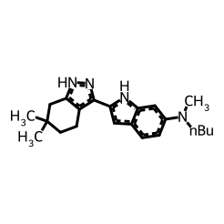 CCCCN(C)c1ccc2cc(-c3n[nH]c4c3CCC(C)(C)C4)[nH]c2c1